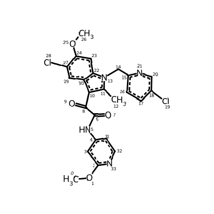 COc1cc(NC(=O)C(=O)c2c(C)n(Cc3ccc(Cl)cn3)c3cc(OC)c(Cl)cc23)ccn1